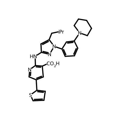 CC(C)Cc1cc(Nc2ncc(-c3cccs3)cc2C(=O)O)nn1-c1cccc(N2CCCCC2)c1